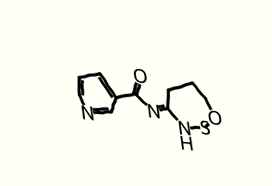 O=C(N=C1CCCOSN1)c1cccnc1